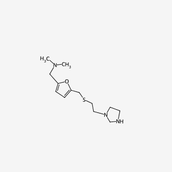 CN(C)Cc1ccc(CSCCN2CCNC2)o1